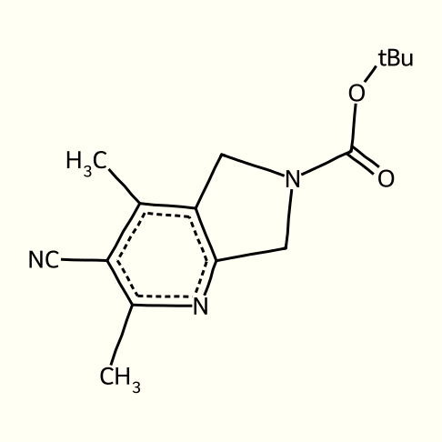 Cc1nc2c(c(C)c1C#N)CN(C(=O)OC(C)(C)C)C2